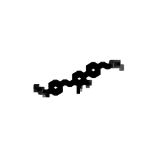 CCCc1ccc(-c2ccc(CCc3ccc(N=C=S)cc3)c(F)c2F)cc1